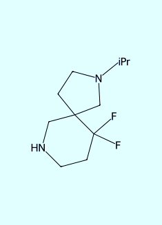 CC(C)N1CCC2(CNCCC2(F)F)C1